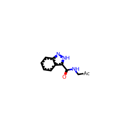 CC(=O)CNC(=O)c1[nH]nc2ccccc12